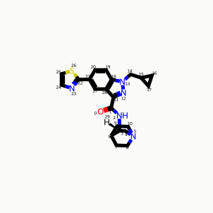 O=C(N[C@@H]1CN2CCC1CC2)c1nn(CC2CC2)c2ccc(-c3nccs3)cc12